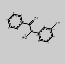 O=C(c1ccccc1)C(O)c1cccc(F)c1